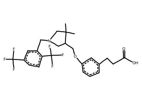 CC1(C)CN(Cc2cc(C(F)(F)F)ccc2C(F)(F)F)CC1COc1cccc(CCC(=O)O)c1